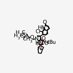 CC(C)(C)OC(=O)NC1CC2CCC(C1)N2c1cnc2c(-c3ccc4ccc(=O)[nH]c4c3Cl)cn(COCC[Si](C)(C)C)c2n1